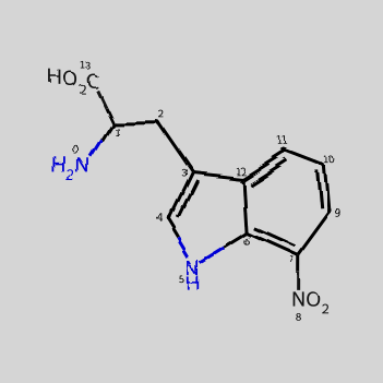 NC(Cc1c[nH]c2c([N+](=O)[O-])cccc12)C(=O)O